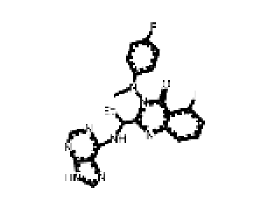 CCC(Nc1ncnc2[nH]cnc12)c1nc2cccc(F)c2c(=O)n1N(C)c1ccc(F)cc1